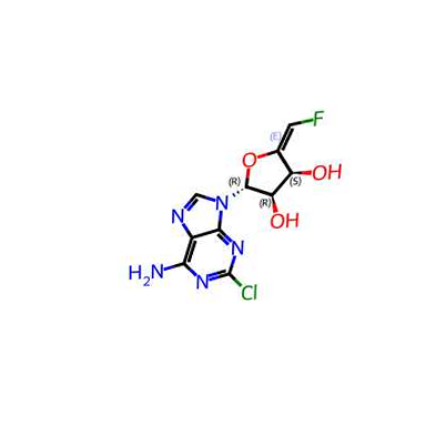 Nc1nc(Cl)nc2c1ncn2[C@@H]1O/C(=C/F)[C@@H](O)[C@H]1O